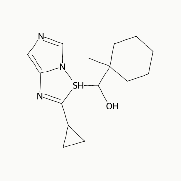 CC1(C(O)[SH]2C(C3CC3)=Nc3cncn32)CCCCC1